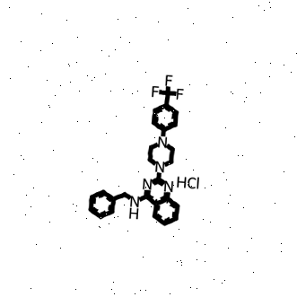 Cl.FC(F)(F)c1ccc(N2CCN(c3nc(NCc4ccccc4)c4ccccc4n3)CC2)cc1